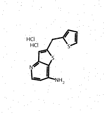 Cl.Cl.Nc1ccnc2cc(Cc3cccs3)sc12